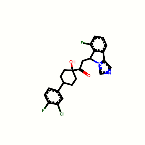 O=C(CC1c2c(F)cccc2-c2cncn21)C1(O)CCC(c2ccc(F)c(Cl)c2)CC1